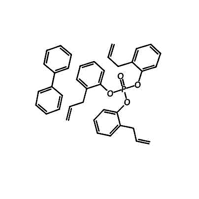 C=CCc1ccccc1OP(=O)(Oc1ccccc1CC=C)Oc1ccccc1CC=C.c1ccc(-c2ccccc2)cc1